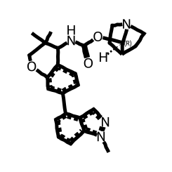 Cn1ncc2c(-c3ccc4c(c3)OCC(C)(C)C4NC(=O)O[C@H]3CN4CCC3CC4)cccc21